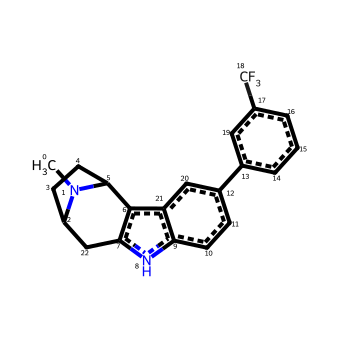 CN1C2CCC1c1c([nH]c3ccc(-c4cccc(C(F)(F)F)c4)cc13)C2